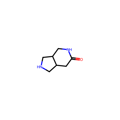 O=C1CC2CNCC2CN1